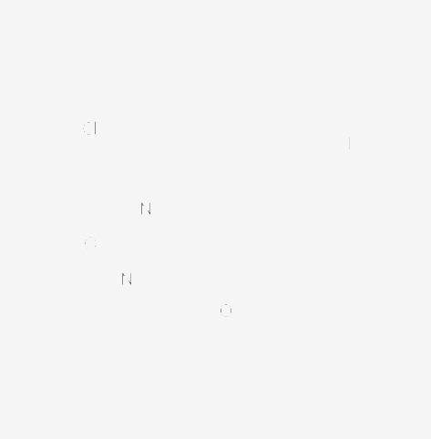 O=C(c1ccc(F)cc1)c1noc(CCl)n1